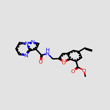 C=Cc1cc(C(=O)OC)c2oc(CNC(=O)c3cnn4cccnc34)cc2c1